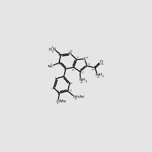 COc1ccc(-c2c(C#N)c(N)nc3sc(C(N)=O)c(N)c23)cc1NC(C)=O